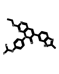 CCOc1ncc2cc(-c3ccc4nc(C)[nH]c4c3)c(=O)n(-c3ccc(OC(F)F)cc3)c2n1